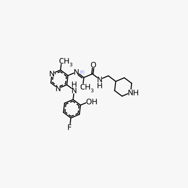 C/C(=N\c1c(C)ncnc1Nc1ccc(F)cc1O)C(=O)NCC1CCNCC1